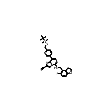 CC(C)(C)[Si](C)(C)OCc1ccc(-c2cnc(NCc3c(F)ccc4c3CCO4)n3cc(C#N)nc23)cn1